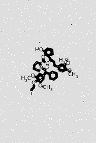 COc1ccc(CCC(OC(=O)[C@H]2CCCCN2C(=O)C(c2cc(OC)c(OCCI)c(OC)c2)C2CCCCC2)c2cccc(O)c2)cc1OC